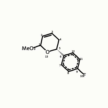 COC1C=CC[C@H](c2ccc(F)cc2)O1